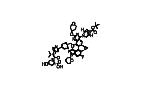 Cc1c(F)cc2c(cnn2C2CCCCO2)c1-c1c(C2CC2)cc2c(N3C[C@@H]4C[C@H]3CN4C(=O)OC(C)(C)C)nc(OC3CCOCC3)nc2c1OCc1ccc(-c2cn([C@H](C(=O)N3C[C@H](O)C[C@H]3C(=O)O)C(C)C)nn2)cc1